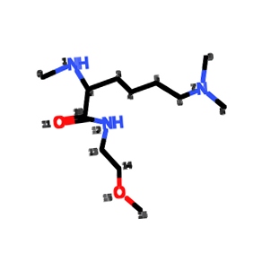 CNC(CCCCN(C)C)C(=O)NCCOC